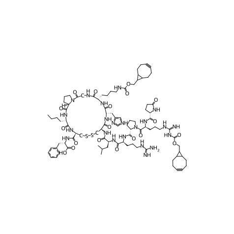 CCCC[C@@H]1NC(=O)[C@@H]2CCCN2C(=O)CNC(=O)[C@H](CCCCNC(=O)OCC2C3CCC#CCCC32)NC(=O)[C@H](Cc2c[nH]cn2)NC(=O)[C@@H](NC(=O)[C@H](CC(C)C)NC(=O)[C@H](CCCNC(=N)N)NC(=O)[C@@H]2CCCN2C(=O)[C@H](CCCNC(=N)NC(=O)OCC2C3CCC#CCCC32)NC(=O)[C@@H]2CCC(=O)N2)CSSC[C@@H](C(=O)N[C@@H](Cc2ccccc2)C(=O)O)NC1=O